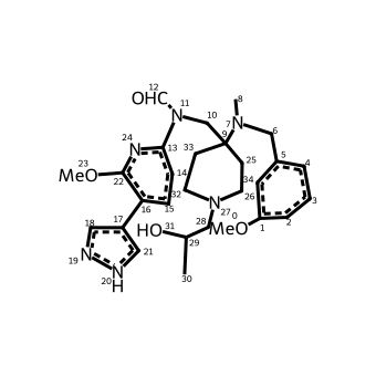 COc1cccc(CN(C)C2(CN(C=O)c3ccc(-c4cn[nH]c4)c(OC)n3)CCN(CC(C)O)CC2)c1